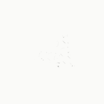 O=C(CI)Nc1ccc(-c2c3ccc(=O)cc-3oc3cc(O)ccc23)c(C(=O)O)c1